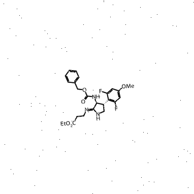 CCOC(=O)CC/N=C1\NC[C@@H](c2c(F)cc(OC)cc2F)[C@@H]1NC(=O)OCc1ccccc1